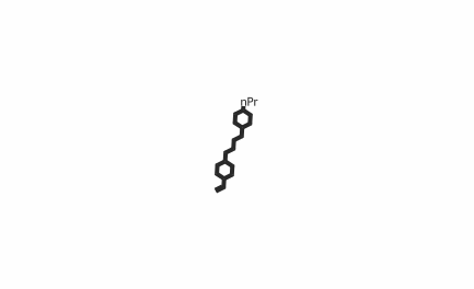 C=CC1CCC(CCCCC2CCC(CCC)CC2)CC1